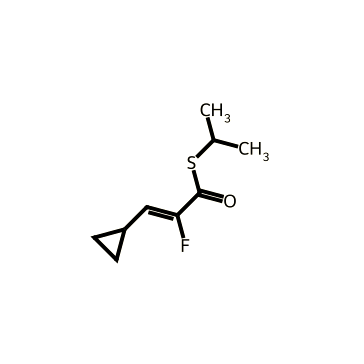 CC(C)SC(=O)C(F)=CC1CC1